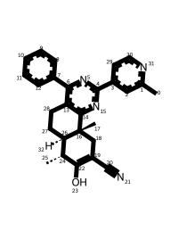 Cc1cc(-c2nc(-c3ccccc3)c3c(n2)[C@]2(C)CC(C#N)=C(O)[C@H](C)[C@H]2CC3)ccn1